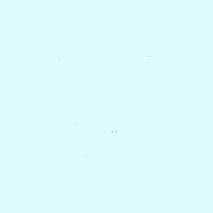 C#CC(C)CCCCC(C)(C(=O)OC)c1cccc(I)c1